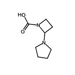 O=C(O)N1CCC1N1CCCC1